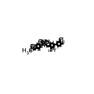 CC(C)c1cc(-c2ccc(F)c(Cl)c2)cc(C(C)C)c1CC(=O)N=S(N)(=O)c1ccc(CN(C)C)cc1